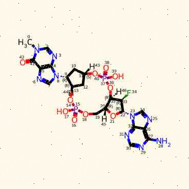 Cn1cnc2c(ncn2[C@@H]2C[C@H]3C[C@H]2OP(=O)(O)OC[C@H]2O[C@@H](n4cnc5c(N)ncnc54)[C@H](F)[C@@H]2OP(=O)(O)O3)c1=O